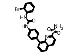 NS(=O)(=O)c1ccc2cccc(-c3ccc(NC(=O)Nc4ccccc4Br)cc3)c2n1